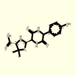 CC1(C)S[C@H](C2NC(=O)C(c3ccc(O)cc3)NC2=O)N[C@H]1C(=O)O